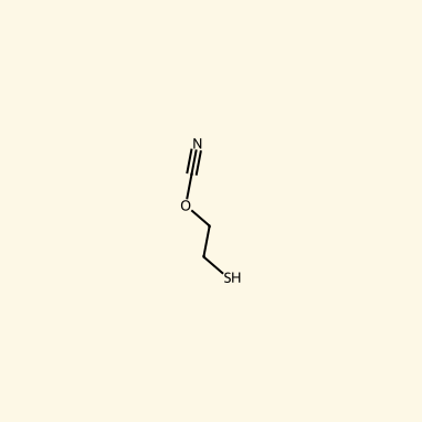 N#COCCS